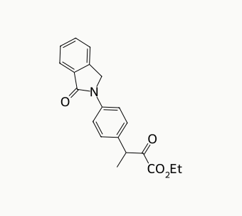 CCOC(=O)C(=O)C(C)c1ccc(N2Cc3ccccc3C2=O)cc1